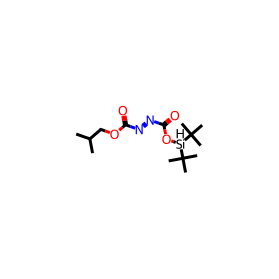 CC(C)COC(=O)N=NC(=O)O[SiH](C(C)(C)C)C(C)(C)C